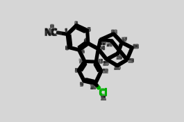 N#Cc1ccc2c(c1)-c1ccc(Cl)cc1C21C2CC3CC(C2)CC1C3